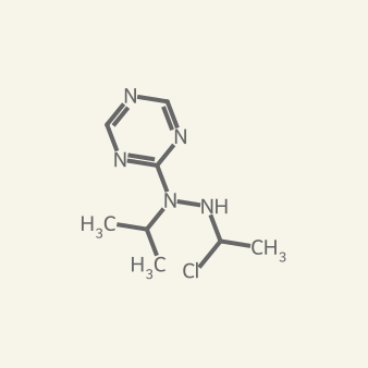 CC(Cl)NN(c1ncncn1)C(C)C